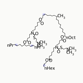 CCC/C=C/CCC(CC/C=C/CCC)OC(=O)CCCN(CCCCCC(=O)OC/C=C\CCCCC(C)CCCCCCCCC(CCCCCCCC)OC(=O)CCCN(CCCCCC(=O)OC/C=C\CCCCCC)C(=O)SCCN(C)C)C(=O)SCCN(C)C